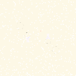 Cc1[nH]c(C2C(O)C(c3[nH]c(C)c(-c4ccc(C(C)(C)C)cc4)c3C)C2O)c(C)c1-c1ccc(C(C)(C)C)cc1